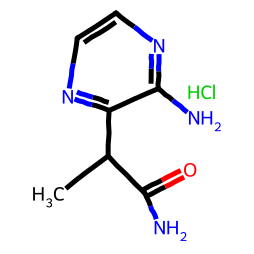 CC(C(N)=O)c1nccnc1N.Cl